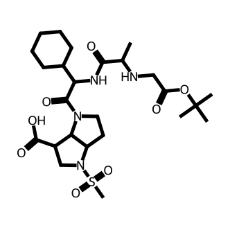 CC(NCC(=O)OC(C)(C)C)C(=O)NC(C(=O)N1CCC2C1C(C(=O)O)CN2S(C)(=O)=O)C1CCCCC1